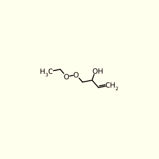 C=CC(O)COOCC